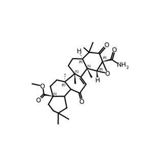 COC(=O)[C@]12CCC(C)(C)CC1C1C(=O)C=C3[C@]4(C)[C@@H](CC[C@@]3(C)[C@]1(C)CC2)C(C)(C)C(=O)[C@]1(C(N)=O)O[C@@H]14